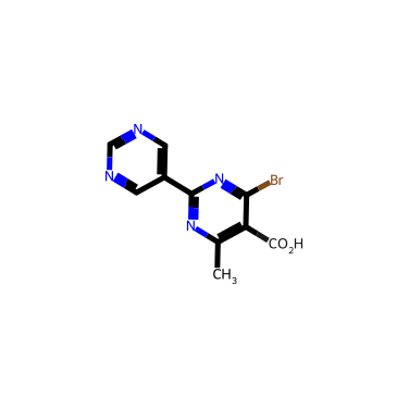 Cc1nc(-c2cncnc2)nc(Br)c1C(=O)O